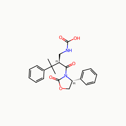 CC(C)(c1ccccc1)[C@@H](CNC(=O)O)C(=O)N1C(=O)OC[C@H]1c1ccccc1